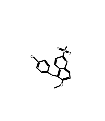 COc1ccc2nc(S(C)(=O)=O)ccc2c1Sc1ccc(Cl)cc1